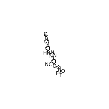 N#Cc1cc(-c2ncnc(Nc3ccc(N4CCN(C5COC5)CC4)cc3)n2)ccc1OC1CCN(C(=O)C(F)F)C1